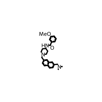 COc1cccc(C(=O)NC2CCN(Cc3ccc4ccc(CN(C)C)cc4c3)CC2)c1